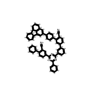 N#Cc1cc(-c2nc(-c3ccccc3)nc(-c3cccc(-c4ccc(C#N)c(-c5ccc(-c6cc7c8c(cccc8c6)-c6ccccc6-7)cc5)c4)c3)n2)ccc1-c1ccccc1